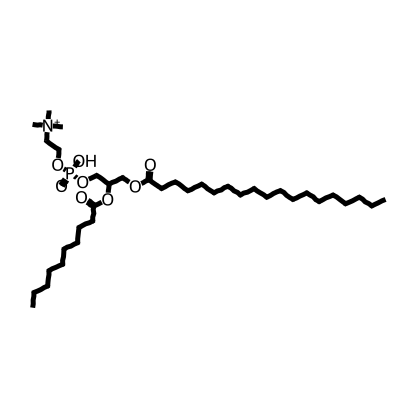 CCCCCCCCCCCCCCCCCCC(=O)OCC(COP(=O)(O)OCC[N+](C)(C)C)OC(=O)CCCCCCCCC